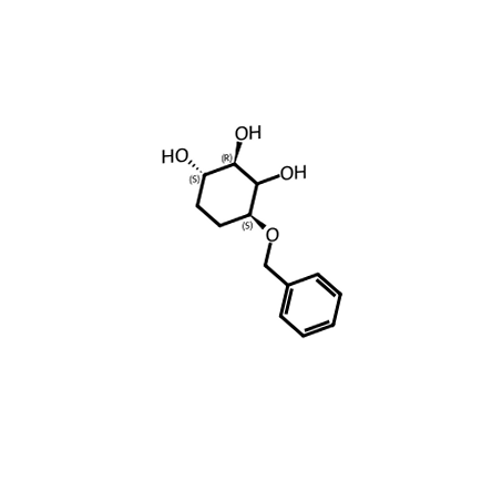 OC1[C@@H](OCc2ccccc2)CC[C@H](O)[C@H]1O